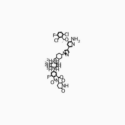 [2H]C1([2H])N(CC2CCC(n3cc(-c4cnc(N)c(O[C@H](C)c5c(Cl)ccc(F)c5Cl)c4)cn3)CC2)C([2H])([2H])C([2H])([2H])N(c2cc(F)c3c(c2)C(=O)N(C2CCC(=O)NC2=O)C3=O)C1([2H])[2H]